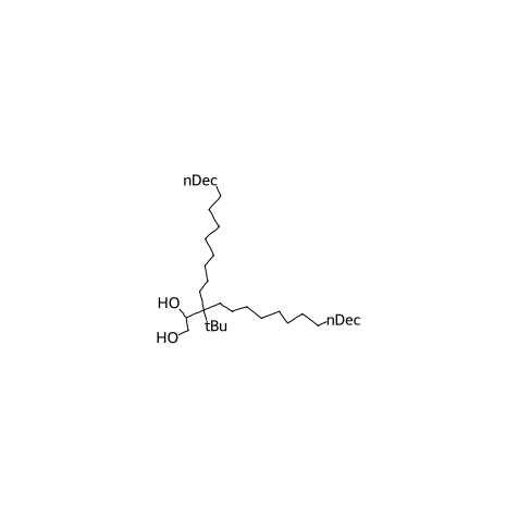 CCCCCCCCCCCCCCCCCCC(CCCCCCCCCCCCCCCCCC)(C(O)CO)C(C)(C)C